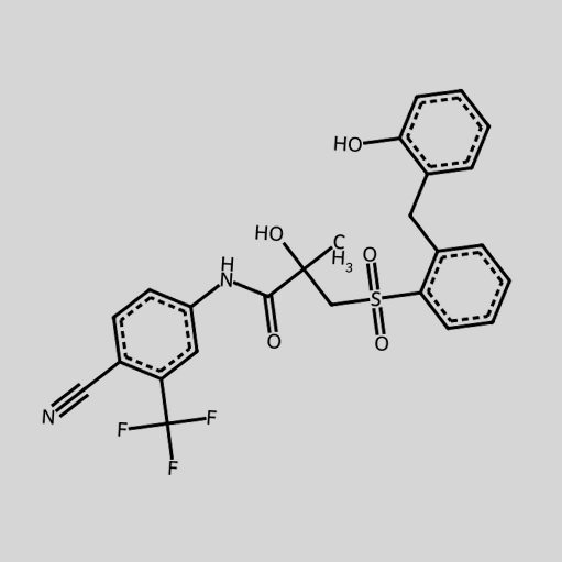 CC(O)(CS(=O)(=O)c1ccccc1Cc1ccccc1O)C(=O)Nc1ccc(C#N)c(C(F)(F)F)c1